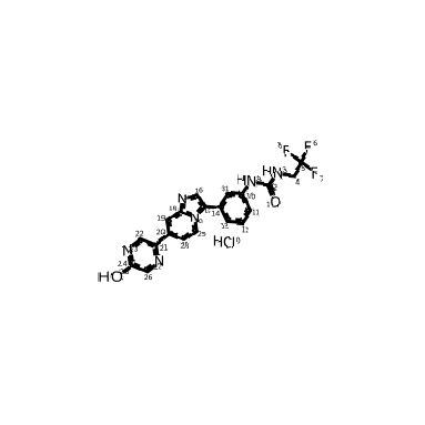 Cl.O=C(NCC(F)(F)F)Nc1cccc(-c2cnc3cc(-c4cnc(O)cn4)ccn23)c1